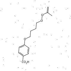 C=C(C)OOCCCCOc1ccc(C(=O)O)cc1